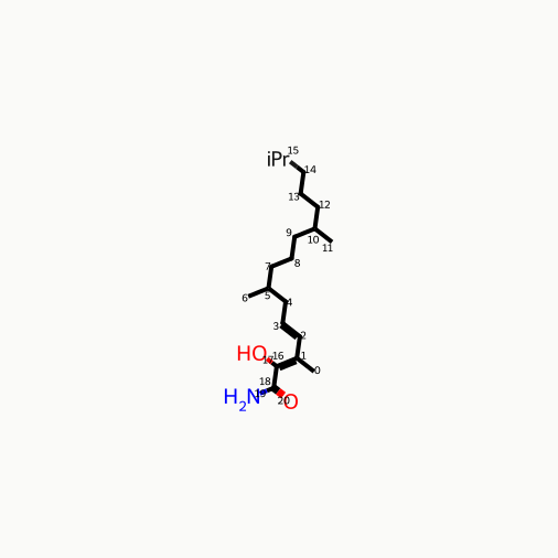 CC(C=CCC(C)CCCC(C)CCCC(C)C)=C(O)C(N)=O